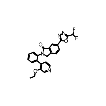 CCOc1cnccc1-c1ccccc1N1Cc2ccc(-c3nnc(C(F)F)o3)cc2C1=O